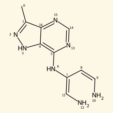 Cc1n[nH]c2c(NC(/C=C\N)=C/N)ncnc12